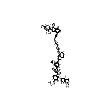 Nc1ccc(C(=O)NS(=O)(=O)c2ccc(NCC3CCCN(CCOCCOCC#Cc4cccc5c4CN(C4CCC(=O)NC4=O)C5=O)C3)c(N=O)c2)c(Oc2cnc3[nH]ccc3c2)c1